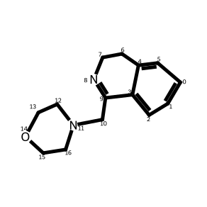 c1ccc2c(c1)CCN=C2CN1CCOCC1